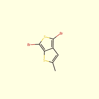 Cc1cc2c(Br)sc(Br)c2s1